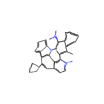 Cc1c2ccccc2c(N(C)C)c2c1c1c3c(cc[n+]1C)cc(C1CCCC1)c1c4ccccc4n2c13